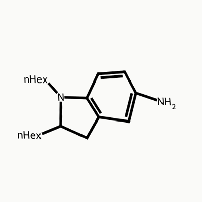 CCCCCCC1Cc2cc(N)ccc2N1CCCCCC